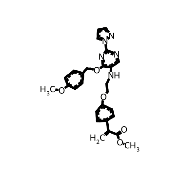 C=C(C(=O)OC)c1ccc(OCCNc2cnc(-n3cccn3)nc2OCc2ccc(OC)cc2)cc1